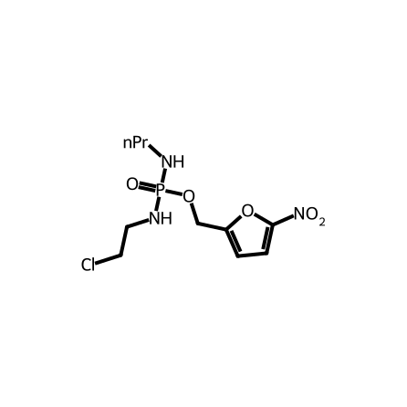 CCCNP(=O)(NCCCl)OCc1ccc([N+](=O)[O-])o1